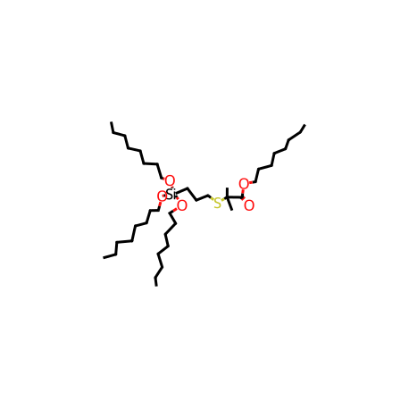 CCCCCCCCOC(=O)C(C)(C)SCCC[Si](OCCCCCCCC)(OCCCCCCCC)OCCCCCCCC